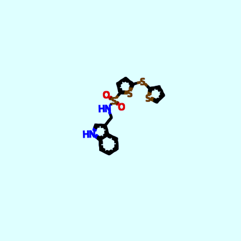 O=S(=O)(NCc1c[nH]c2ccccc12)c1ccc(Sc2cccs2)s1